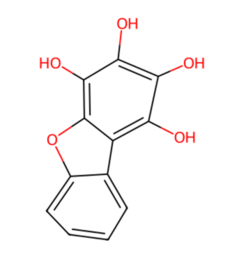 Oc1c(O)c(O)c2c(oc3ccccc32)c1O